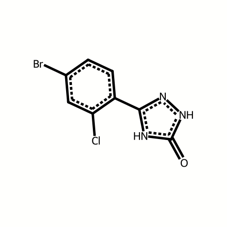 O=c1[nH]nc(-c2ccc(Br)cc2Cl)[nH]1